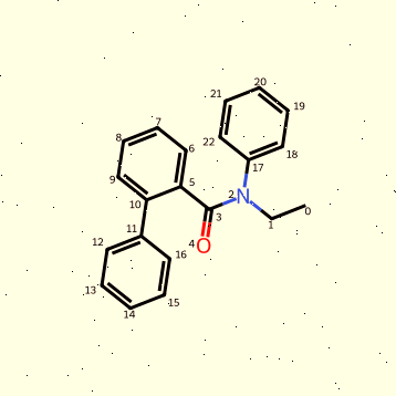 CCN(C(=O)c1ccccc1-c1ccccc1)c1ccccc1